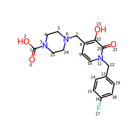 O=C(O)N1CCN(Cc2ccn(Cc3ccc(F)cc3)c(=O)c2O)CC1